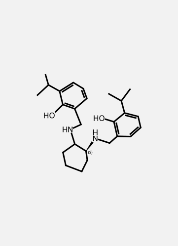 CC(C)c1cccc(CNC2CCCC[C@@H]2NCc2cccc(C(C)C)c2O)c1O